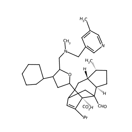 Cc1cncc(CN(C)CC2OC(C34C[C@@H]5[C@H](C)CC[C@H]5C5(C=O)CC3C=C(C(C)C)[C@@]45C(=O)O)CC2C2CCCCC2)c1